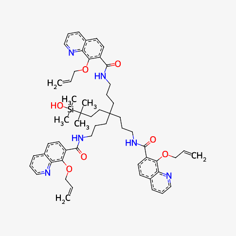 C=CCOc1c(C(=O)NCCCC(CCCNC(=O)c2ccc3cccnc3c2OCC=C)(CCCNC(=O)c2ccc3cccnc3c2OCC=C)CCC(C)(C)[Si](C)(C)O)ccc2cccnc12